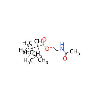 CC(=O)NCCOC(=O)C(C)(CC(C)(C)C)C(C)(C)C